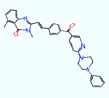 Cc1cccc2nc(C=Cc3ccc(C(=O)c4ccc(N5CCN(c6ccccc6)CC5)nc4)cc3)n(C)c(=O)c12